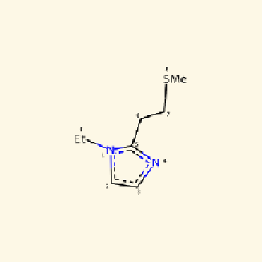 CCn1ccnc1CCSC